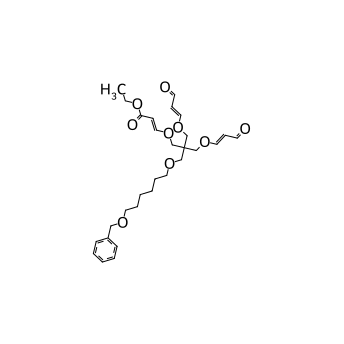 CCOC(=O)C=COCC(COC=CC=O)(COC=CC=O)COCCCCCCOCc1ccccc1